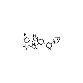 Cc1cnc(-c2cc(-c3cncc(N4CCOCC4)c3)ccn2)n1C(C)c1cccc(F)c1